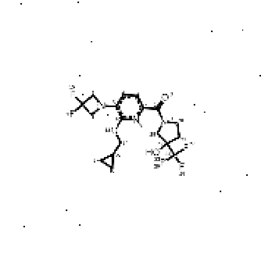 O=C(c1ccc(N2CC(F)(F)C2)c(OCC2CC2)n1)N1CCC(O)(C(F)(F)F)C1